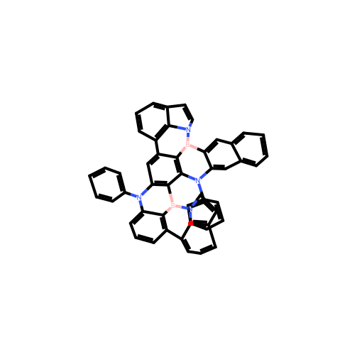 c1ccc(N2c3cccc4c3B(c3c2cc2c5c3N(c3ccccc3)c3cc6ccccc6cc3B5n3ccc5cccc-2c53)n2ccc3cccc-4c32)cc1